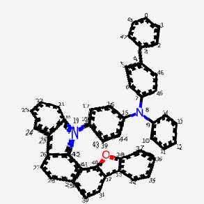 c1ccc(-c2ccc(N(c3ccccc3)c3ccc(-n4c5ccccc5c5ccc6ccc7c8ccccc8oc7c6c54)cc3)cc2)cc1